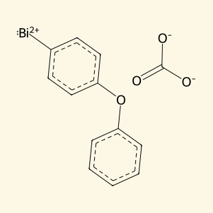 O=C([O-])[O-].[Bi+2][c]1ccc(Oc2ccccc2)cc1